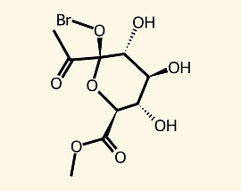 COC(=O)[C@H]1O[C@](OBr)(C(C)=O)[C@H](O)[C@@H](O)[C@@H]1O